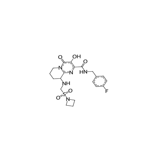 O=C(NCc1ccc(F)cc1)c1nc2n(c(=O)c1O)CCCC2NCS(=O)(=O)N1CCC1